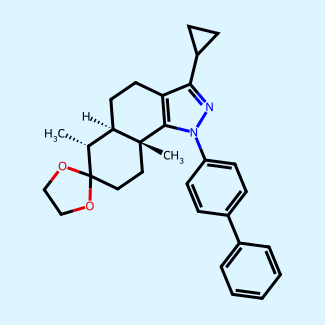 C[C@@H]1[C@H]2CCc3c(C4CC4)nn(-c4ccc(-c5ccccc5)cc4)c3[C@]2(C)CCC12OCCO2